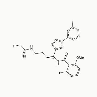 COc1cccc(F)c1C(=O)N[C@@H](CCCNC(=N)CF)c1ncc(-c2cccc(C)c2)o1